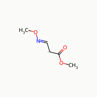 CON=C[CH]C(=O)OC